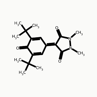 CN1C(=O)C(=C2C=C(C(C)(C)C)C(=O)C(C(C)(C)C)=C2)C(=O)N1C